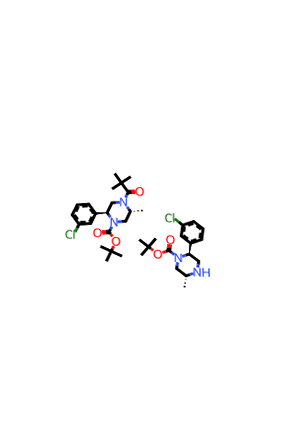 C[C@@H]1CN(C(=O)OC(C)(C)C)[C@@H](c2cccc(Cl)c2)CN1.C[C@@H]1CN(C(=O)OC(C)(C)C)[C@@H](c2cccc(Cl)c2)CN1C(=O)C(C)(C)C